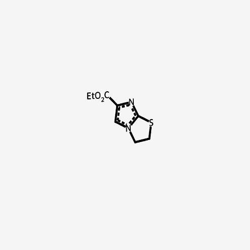 CCOC(=O)c1cn2c(n1)SCC2